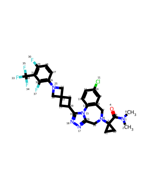 CN(C)C(=O)C1(N2Cc3cc(Cl)ccc3-n3c(nnc3C3CC4(C3)CN(c3ccc(F)c(C(F)(F)F)c3F)C4)C2)CC1